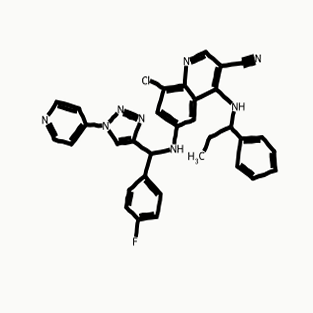 CCC(Nc1c(C#N)cnc2c(Cl)cc(NC(c3ccc(F)cc3)c3cn(-c4ccncc4)nn3)cc12)c1ccccc1